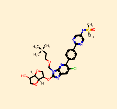 C[Si](C)(C)CCOCn1c(O[C@@H]2CO[C@H]3[C@@H]2OC[C@H]3O)nc2cc(Cl)c(-c3ccc(-c4ncc(N=S(C)(C)=O)cn4)cc3)nc21